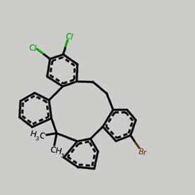 CC1(C)c2ccccc2-c2cc(Br)ccc2CCc2cc(Cl)c(Cl)cc2-c2ccccc21